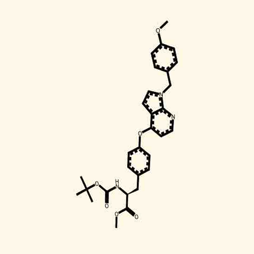 COC(=O)[C@H](Cc1ccc(Oc2ccnc3c2ccn3Cc2ccc(OC)cc2)cc1)NC(=O)OC(C)(C)C